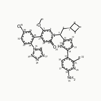 COc1cn(C(CC2CCC2)c2ncc(-c3ccc(N)nc3F)[nH]2)c(=O)cc1-c1cc(Cl)ccc1-n1cnnn1